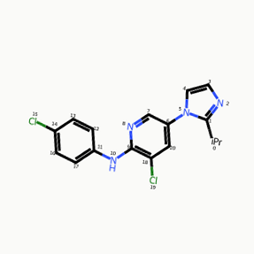 CC(C)c1nccn1-c1cnc(Nc2ccc(Cl)cc2)c(Cl)c1